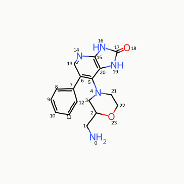 NCC1CN(c2c(-c3ccccc3)cnc3[nH]c(=O)[nH]c23)CCO1